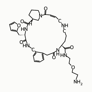 NCCOCCNC(=O)[C@@H]1CCCNC/C=C\C(=O)N2CCC[C@H](C2)C(=O)N[C@@H](Cc2ccco2)C(=O)NCc2ccccc2CC(=O)N1